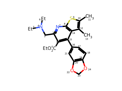 CCOC(=O)c1c(CN(CC)CC)nc2sc(C)c(C)c2c1-c1ccc2c(c1)OCO2